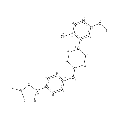 COc1cc(N2CCC(Oc3ccc(N4CCC(C)C4)cc3)CC2)c(Cl)cn1